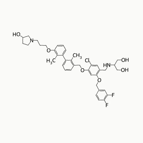 Cc1c(COc2cc(OCc3ccc(F)c(F)c3)c(CNC(CO)CO)cc2Cl)cccc1-c1cccc(OCCCN2CCC(O)C2)c1C